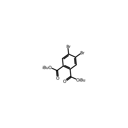 CC(C)COC(=O)c1cc(Br)c(Br)cc1C(=O)OCC(C)C